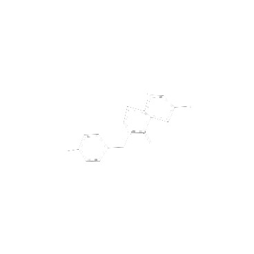 O=c1c2cc(Br)cnc2ccn1Cc1ccc(Cl)cc1